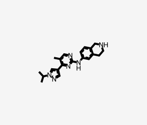 Cc1cnc(Nc2ccc3c(c2)CCNC3)nc1-c1cnn(C(C)C)c1